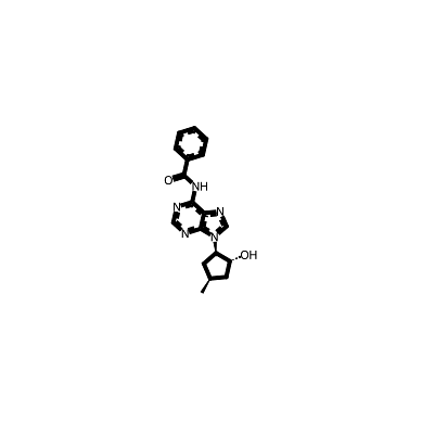 C[C@@H]1C[C@@H](O)[C@H](n2cnc3c(NC(=O)c4ccccc4)ncnc32)C1